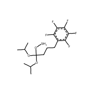 CC(C)OC(CCCc1c(F)c(F)c(F)c(F)c1F)(O[SiH3])OC(C)C